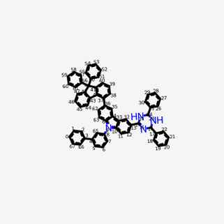 c1ccc(-c2cccc(-n3c4ccc(C5=NC(c6ccccc6)NC(c6ccccc6)N5)cc4c4cc(-c5cccc6c5-c5ccccc5C6(c5ccccc5)c5ccccc5)ccc43)c2)cc1